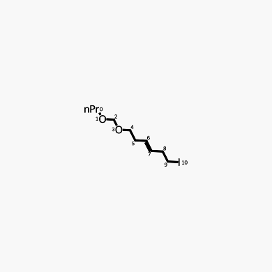 CCCOCOCC/C=C/CCI